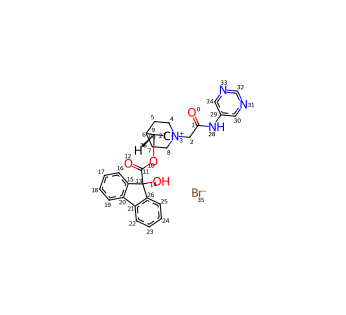 O=C(C[N+]12CCC(CC1)[C@@H](OC(=O)C1(O)c3ccccc3-c3ccccc31)C2)Nc1cncnc1.[Br-]